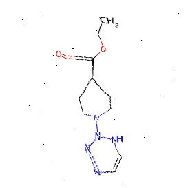 CCOC(=O)C1CCN(N2N=NC=CN2)CC1